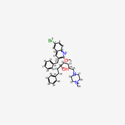 COc1nc2ccc(Br)cc2cc1[C@@H](c1ccccc1)C(O)(CCCCN1CCN(C)CC1)CCc1ccccc1